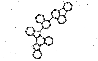 c1ccc2c(c1)-c1cccc3c(-c4ccc(-n5c6ccccc6c6c7oc8ccccc8c7c7ccccc7c65)c5ccccc45)ccc-2c13